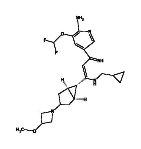 COC1CN(C2C[C@@H]3[C@H](C2)[C@H]3/C(=C/C(=N)c2cnc(N)c(OC(F)F)c2)NCC2CC2)C1